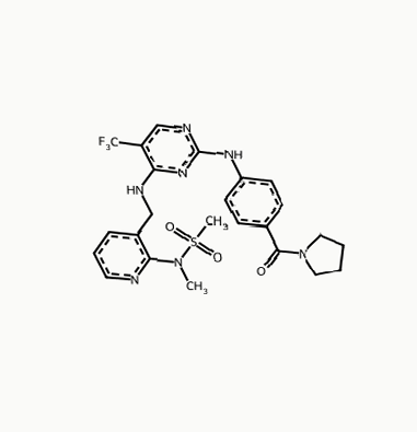 CN(c1ncccc1CNc1nc(Nc2ccc(C(=O)N3CCCC3)cc2)ncc1C(F)(F)F)S(C)(=O)=O